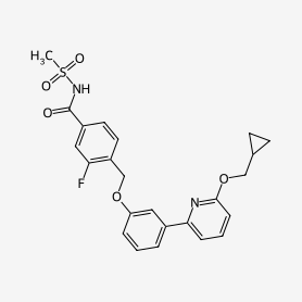 CS(=O)(=O)NC(=O)c1ccc(COc2cccc(-c3cccc(OCC4CC4)n3)c2)c(F)c1